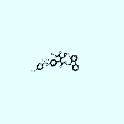 Cc1ccc(S(=O)(=O)Oc2ccc(C(C(=O)OCC3c4ccccc4-c4ccccc43)C(CN)C(=O)OC(C)(C)C)cc2)cc1